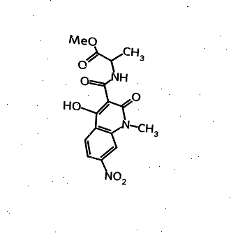 COC(=O)C(C)NC(=O)c1c(O)c2ccc([N+](=O)[O-])cc2n(C)c1=O